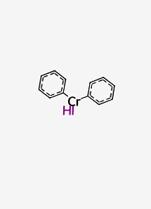 I.c1cc[c]([Cr][c]2ccccc2)cc1